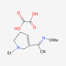 CCN1CCC=C(C(C#N)=NOC)C1.O=C(O)C(=O)O